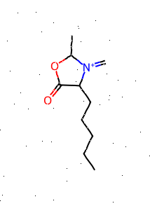 C=[N+]1C(C)OC(=O)C1CCCCC